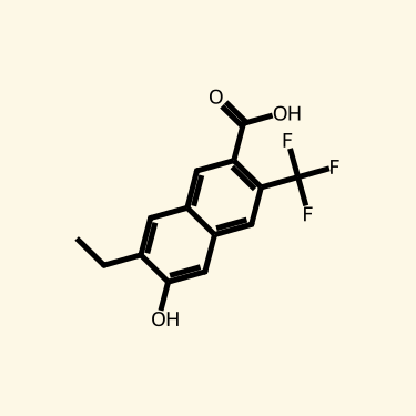 CCc1cc2cc(C(=O)O)c(C(F)(F)F)cc2cc1O